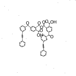 O=C(c1cccc(C#Cc2ccccc2)c1)c1ccc(C(=O)O)c(C(=O)OC(=O)c2cc(C(=O)c3cccc(C#Cc4ccccc4)c3)ccc2C(=O)O)c1